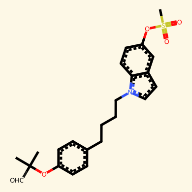 CC(C)(C=O)Oc1ccc(CCCCn2ccc3cc(OS(C)(=O)=O)ccc32)cc1